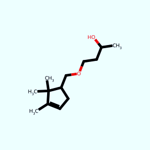 CC1=CCC(COCCC(C)O)C1(C)C